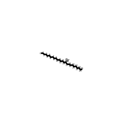 CCCCCCCCCCCCCCCC(Br)CCCCCCCCCC